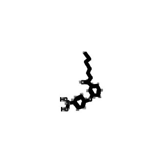 CCCCCCC(=O)c1cccc(Oc2ccc(B(O)O)cc2)c1